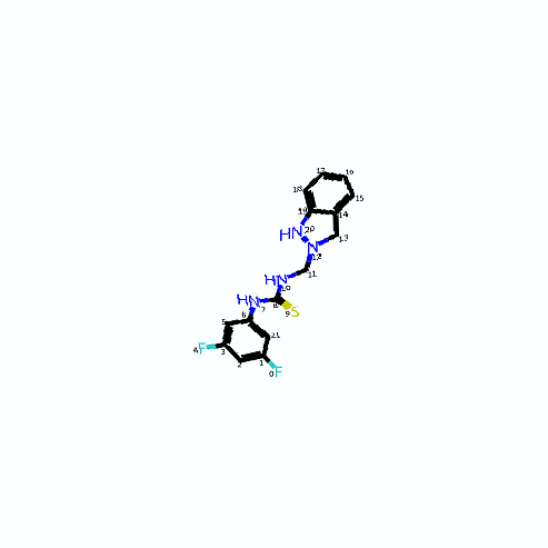 Fc1cc(F)cc(NC(=S)NCN2Cc3ccccc3N2)c1